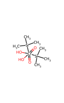 C[Si](C)(C)[Cr](=[O])(=[O])([OH])([OH])[Si](C)(C)C